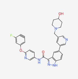 O=C(Nc1ccc(Oc2cc#cc(F)c2)nc1)c1n[nH]c2ccc(-c3cncc(CN4CCC(O)CC4)c3)cc12